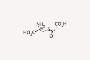 N[C@@H](CS[S+]([O-])CC(=O)O)C(=O)O